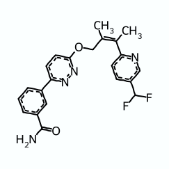 C/C(COc1ccc(-c2cccc(C(N)=O)c2)nn1)=C(\C)c1ccc(C(F)F)cn1